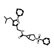 CC(C)Cc1cc(CNC(=O)C2C3CN(S(=O)(=O)c4ccccc4)CC32)nn1-c1ccccc1